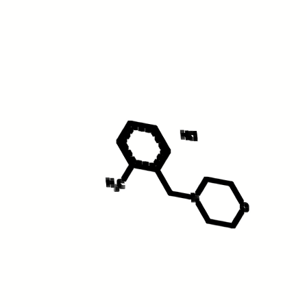 Cc1ccccc1CN1CCOCC1.Cl